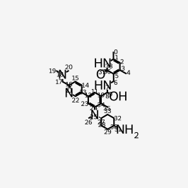 Cc1cc(C)c(CNC(O)c2cc(-c3ccc(CN(C)C)nc3)cc(N(C)[C@H]3CC[C@H](N)CC3)c2C)c(=O)[nH]1